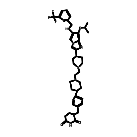 CC(C)Oc1cc2nc(C3CCN(CCN4CCC(c5ccc(CN6CCC(=O)NC6=O)cc5)CC4)CC3)cn2cc1NCc1cccc(C(F)(F)F)n1